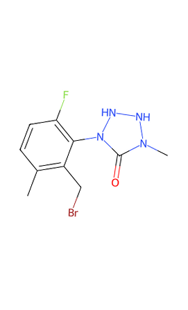 Cc1ccc(F)c(N2NNN(C)C2=O)c1CBr